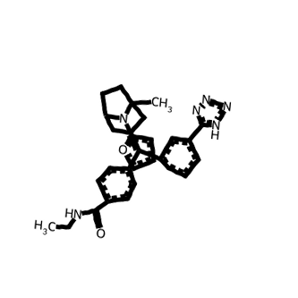 CCNC(=O)c1ccc(C(=C2CC3CCC(C)(C2)N3c2ccco2)c2cccc(-c3nnn[nH]3)c2)cc1